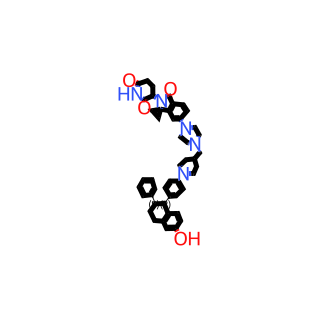 O=C1CCC(N2C(=O)c3ccc(N4CCN(CC5CCN(c6ccc([C@@H]7c8ccc(O)cc8CC[C@@H]7c7ccccc7)cc6)CC5)CC4)cc3C23CC3)C(=O)N1